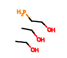 CCO.CCO.OCCP